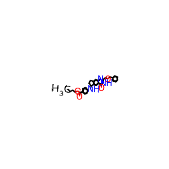 CCCCOC(=O)c1ccc(NC2CCc3cc4nc(COCc5ccccc5)[nH]c(=O)c4cc32)cc1